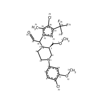 COC[C@H]1CN(c2ccc(Cl)c(OC)c2)CCN1C(C=O)n1nc(C(F)(F)F)c(Cl)c1C